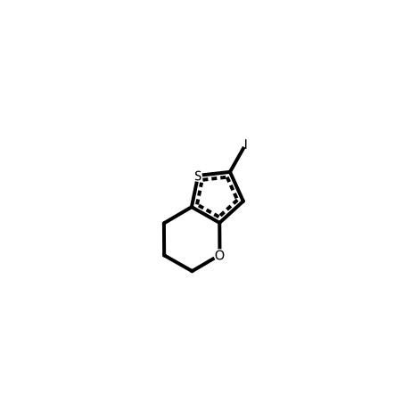 Ic1cc2c(s1)CCCO2